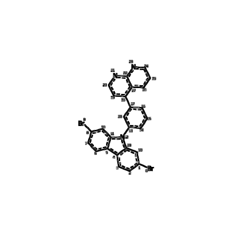 Brc1ccc2c3ccc(Br)cc3n(-c3cccc(-c4ccnc5ncccc45)c3)c2c1